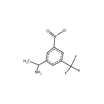 CC(N)c1cc([N+](=O)[O-])cc(C(F)(F)F)c1